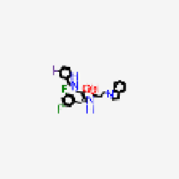 O=C(CCn1ccc2ccccc21)N[C@@H](Cc1cc(F)cc(F)c1)[C@@H](O)CNCc1cccc(I)c1